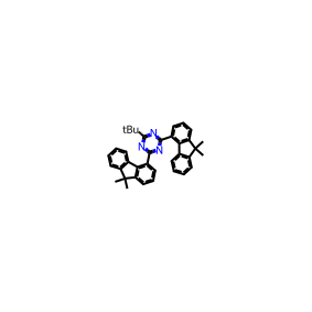 CC(C)(C)c1nc(-c2cccc3c2-c2ccccc2C3(C)C)nc(-c2cccc3c2-c2ccccc2C3(C)C)n1